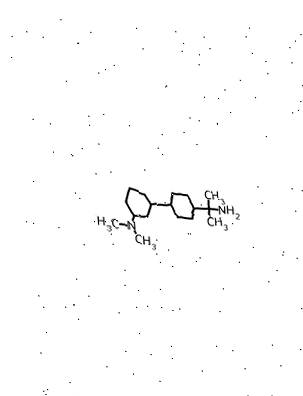 CN(C)C1CCCC(C2CCC(C(C)(C)N)CC2)C1